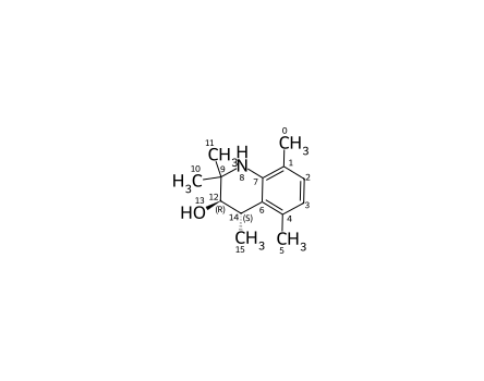 Cc1ccc(C)c2c1NC(C)(C)[C@H](O)[C@H]2C